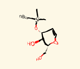 CCCC[Si](C)(C)O[C@@H]1C=CO[C@H](CO)[C@H]1O